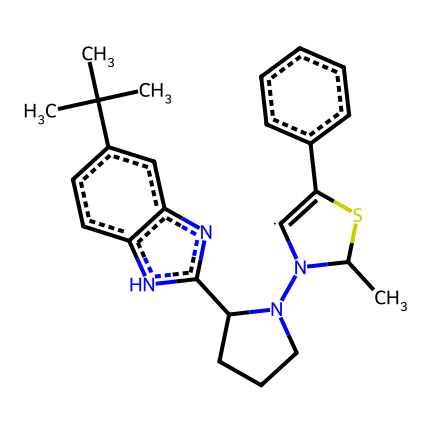 CC1SC(c2ccccc2)=[C]N1N1CCCC1c1nc2cc(C(C)(C)C)ccc2[nH]1